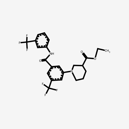 CCOC(=O)C1CCCN(c2cc(C(=O)Nc3cccc(C(F)(F)F)c3)cc(C(F)(F)F)c2)C1